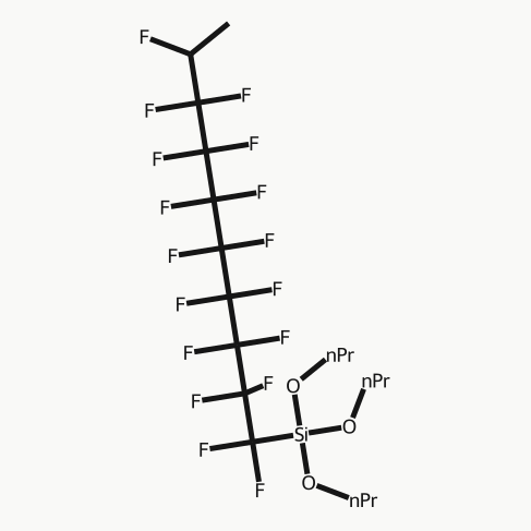 CCCO[Si](OCCC)(OCCC)C(F)(F)C(F)(F)C(F)(F)C(F)(F)C(F)(F)C(F)(F)C(F)(F)C(F)(F)C(C)F